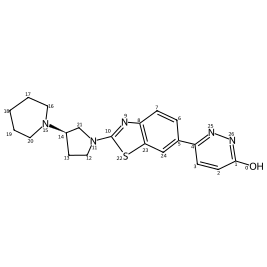 Oc1ccc(-c2ccc3nc(N4CC[C@@H](N5CCCCC5)C4)sc3c2)nn1